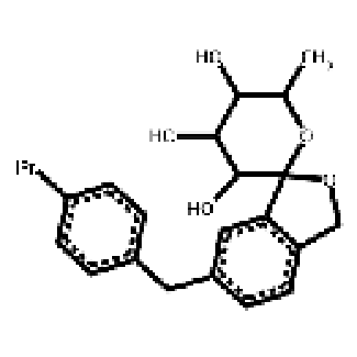 CC(C)c1ccc(Cc2ccc3c(c2)C2(OC3)OC(C)C(O)C(O)C2O)cc1